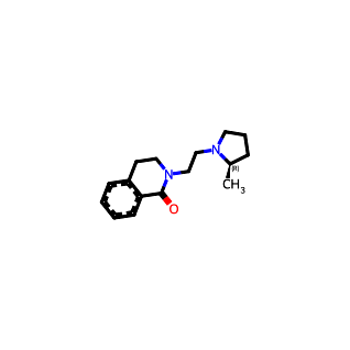 C[C@@H]1CCCN1CCN1CCc2ccccc2C1=O